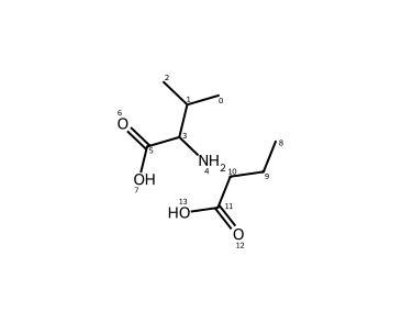 CC(C)C(N)C(=O)O.CCCC(=O)O